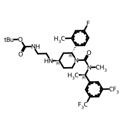 Cc1cc(F)ccc1[C@H]1C[C@H](NCCNC(=O)OC(C)(C)C)CCN1C(=O)N(C)[C@H](C)c1cc(C(F)(F)F)cc(C(F)(F)F)c1